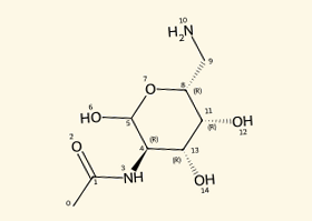 CC(=O)N[C@H]1C(O)O[C@H](CN)[C@H](O)[C@@H]1O